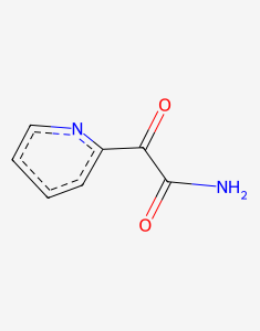 NC(=O)C(=O)c1ccccn1